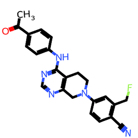 CC(=O)c1ccc(Nc2ncnc3c2CCN(c2ccc(C#N)c(CF)c2)C3)cc1